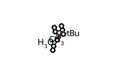 CC(C)(C)c1ccc(N(c2ccc3c(c2)C(C)(C)c2cc4ccccc4cc2-3)c2ccc3ccccc3c2-c2cccc3ccccc23)cc1